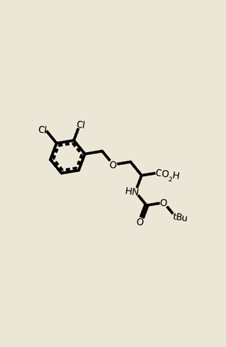 CC(C)(C)OC(=O)NC(COCc1cccc(Cl)c1Cl)C(=O)O